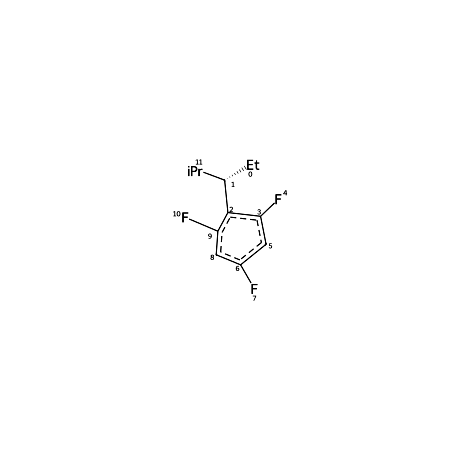 CC[C@H](c1c(F)cc(F)cc1F)C(C)C